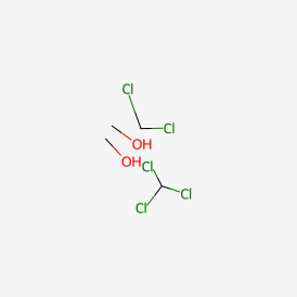 CO.CO.ClC(Cl)Cl.ClCCl